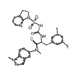 CN(C(=O)C(Cc1cc(F)cc(F)c1)NC(=O)NS(=O)(=O)N1CCc2cccnc21)c1ccc2c(cnn2C)c1